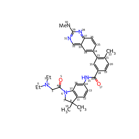 CCN(CC)CC(=O)N1CC(C)(C)c2ccc(NC(=O)c3ccc(C)c(-c4ccc5nc(NC)ncc5c4)c3)cc21